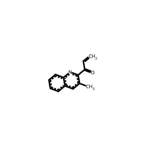 C=CC(=O)c1nc2ccccc2cc1C